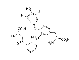 N[C@@H](Cc1cc(I)c(Oc2cc(I)c(O)c(I)c2)c(I)c1)C(=O)O.Nc1ccccc1C(=O)C[C@H](N)C(=O)O